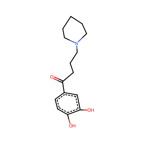 O=C(CCCN1CCCCC1)c1ccc(O)c(O)c1